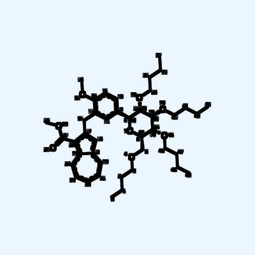 CCCCOC[C@H]1O[C@@H](c2ccc(OC)c(Cc3cc4cccccc-4c3C(=O)OC)c2)[C@H](OCCCC)[C@@H](OCCCC)[C@@H]1OCCCC